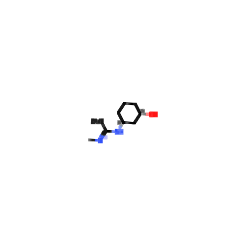 C/N=C(\NC)N[C@@H]1CCC[C@H](O)C1